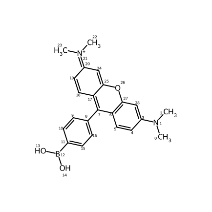 CN(C)c1ccc2c(-c3ccc(B(O)O)cc3)c3ccc(=[N+](C)C)cc-3oc2c1